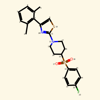 Cc1cccc(C)c1-c1csc(N2CCC(S(=O)(=O)c3ccc(F)cc3)CC2)n1